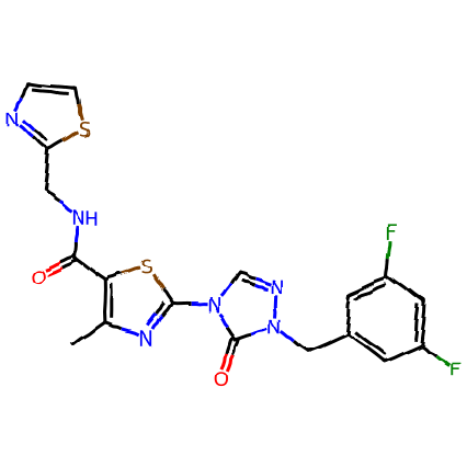 Cc1nc(-n2cnn(Cc3cc(F)cc(F)c3)c2=O)sc1C(=O)NCc1nccs1